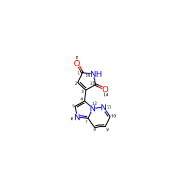 O=C1C=C(c2cnc3cccnn23)C(=O)N1